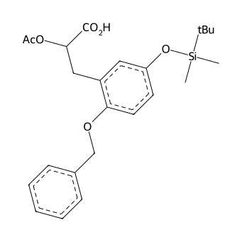 CC(=O)OC(Cc1cc(O[Si](C)(C)C(C)(C)C)ccc1OCc1ccccc1)C(=O)O